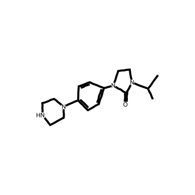 CC(C)N1CCN(c2ccc(N3CCNCC3)cc2)C1=O